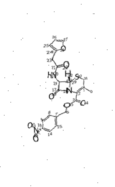 CC1=C(C(=O)OCc2ccc([N+](=O)[O-])cc2)N2C(=O)C(NC(=O)Cc3ccco3)[C@@H]2SC1